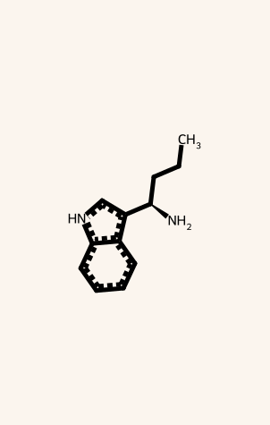 CCC[C@@H](N)c1c[nH]c2ccccc12